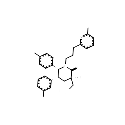 C[C@]1(CC(=O)O)C[C@H](c2cccc(Cl)c2)[C@@H](c2ccc(Cl)cc2)N(CCCc2cccc(C(F)(F)F)n2)C1=O